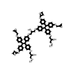 CCOCC(O)COc1ccc(C(c2ccc(OCC(O)COc3ccc(C(c4ccc(OCC(O)COCC)cc4)C(c4ccc(OCC5CO5)cc4)c4ccc(OC5CCO5)cc4)cc3)cc2)C(c2ccc(OCC3CO3)cc2)c2ccc(OC3CCO3)cc2)cc1